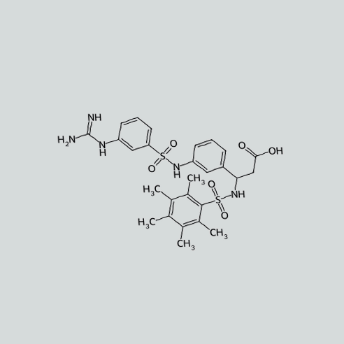 Cc1c(C)c(C)c(S(=O)(=O)NC(CC(=O)O)c2cccc(NS(=O)(=O)c3cccc(NC(=N)N)c3)c2)c(C)c1C